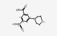 O=C(Cl)c1cc(N2CCOCC2)cc([N+](=O)[O-])c1